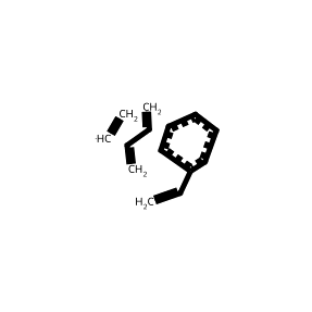 C=CC=C.C=Cc1ccccc1.[CH]=C